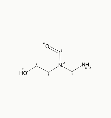 NCN(C=O)CCO